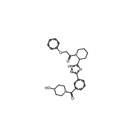 O=C(c1cccc(-c2n[nH]c(C3CCCCN3C(=O)COc3ccccc3)n2)c1)N1CCC(O)CC1